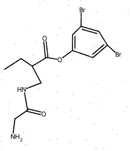 CCC(CNC(=O)CN)C(=O)Oc1cc(Br)cc(Br)c1